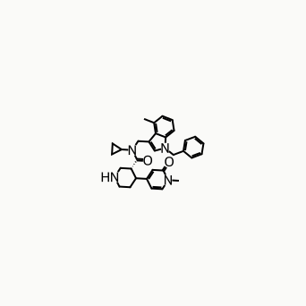 Cc1cccc2c1c(CN(C(=O)[C@H]1CNCCC1c1ccn(C)c(=O)c1)C1CC1)cn2Cc1ccccc1